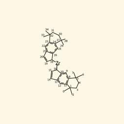 CC1(C)CCC(C)(C)c2cc3c(cc21)C=C[CH]3[Zr][CH]1C=Cc2cc3c(cc21)C(C)(C)CCC3(C)C